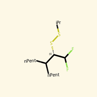 CCCCCC(CCCCC)[C@H](SSC(C)C)C(F)F